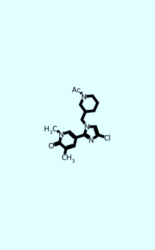 CC(=O)N1CCCC(Cn2cc(Cl)nc2-c2cc(C)c(=O)n(C)c2)C1